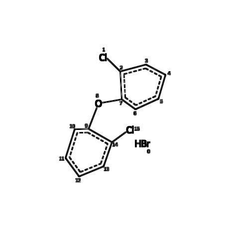 Br.Clc1ccccc1Oc1ccccc1Cl